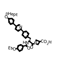 CCCCCCCOc1ccc(-c2ccc(-c3ccc(C[C@H](NC(=O)c4ccc(OCC)cc4)C(=O)N4CC(C(=O)O)C4)cc3)nc2)cc1